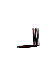 [Ca+2].[Ca+2].[Ca+2].[Ca+2].[Ca+2].[Ca+2].[Ca+2].[Ca+2].[Ca+2].[Ca+2].[Ca+2].[Ca+2].[Ca+2].[Ca+2].[Ca+2].[Ca+2].[Ca+2].[Ca+2].[Ca+2].[Ca+2].[Ca+2].[Ca+2].[Ca+2].[Ca+2].[Ca+2].[Ca+2].[Ca+2].[Ca+2].[Ca+2].[Ca+2].[Ca+2].[Ca+2].[Ca+2].[Ca+2].[Ca+2].[Ca+2].[Ca+2].[Ca+2].[Ca+2].[Ca+2].[Ca+2].[Ca+2].[Ca+2].[Ca+2].[Ca+2].[Ca+2].[Ca+2].[Ca+2].[Ca+2].[Ca+2].[Ca+2].[Ca+2].[Ca+2].[Ca+2].[Ca+2].[Ca+2].[Ca+2].[Ca+2].[Ca+2].[Ca+2].[Ca+2].[Ca+2].[Ca+2].[Ca+2].[Ca+2].[Ca+2].[Ca+2].[Ca+2].[Ca+2].[Ca+2].[Ca+2].[Ca+2].[Ca+2].[Ca+2].[Ca+2].[Ca+2].[Ca+2].[Ca+2].[Ca+2].[Ca+2].[Ca+2].[Ca+2].[Ca+2].[Ca+2].[Ca+2]